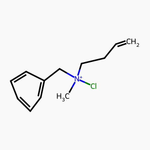 C=CCC[N+](C)(Cl)Cc1ccccc1